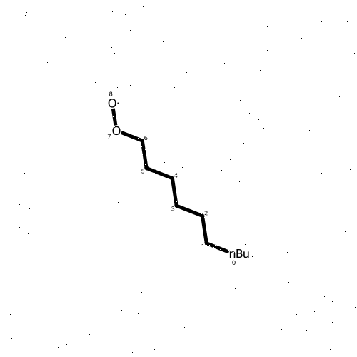 CCCCCCCCCCO[O]